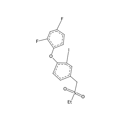 CCS(=O)(=O)Cc1ccc(Oc2ccc(F)cc2F)c(I)c1